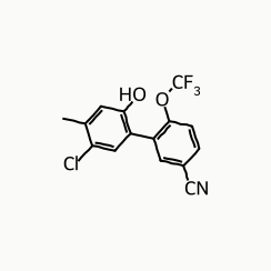 Cc1cc(O)c(-c2cc(C#N)ccc2OC(F)(F)F)cc1Cl